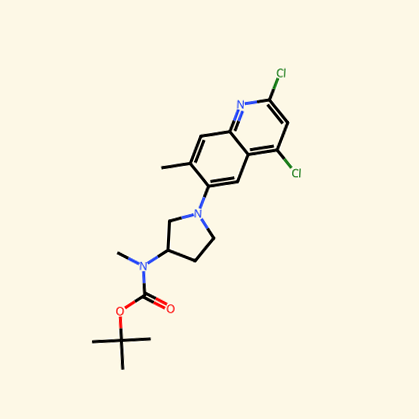 Cc1cc2nc(Cl)cc(Cl)c2cc1N1CCC(N(C)C(=O)OC(C)(C)C)C1